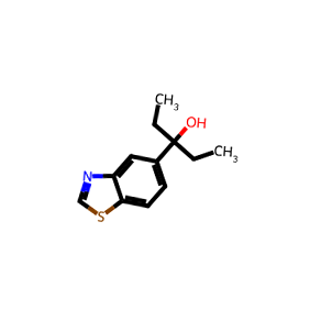 CCC(O)(CC)c1ccc2scnc2c1